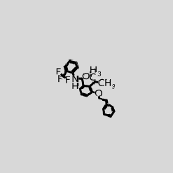 CC(C)c1c(OCCc2ccccc2)cccc1C(=O)Nc1ccccc1C(F)(F)F